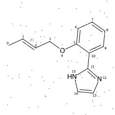 C/C=C/COc1ccccc1-c1ncc[nH]1